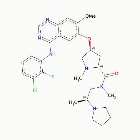 COc1cc2ncnc(Nc3cccc(Cl)c3F)c2cc1O[C@H]1C[C@H](C(=O)N(C)C[C@H](C)N2CCCC2)N(C)C1